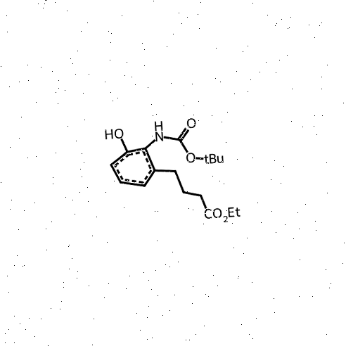 CCOC(=O)CCCc1cccc(O)c1NC(=O)OC(C)(C)C